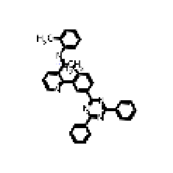 C/C(=N\c1ccccc1C)c1cccnc1-c1cc(-c2nc(-c3ccccc3)nc(-c3ccccc3)n2)ccc1C